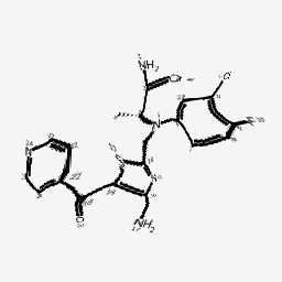 C[C@H](C(N)=O)N(c1ccc(F)c(Cl)c1)c1nc(N)c(C(=O)c2ccncc2)s1